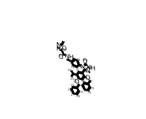 Cc1nnc(C(=O)NCc2ccc(-n3c(-c4cc(C(C)C)c(OCc5ccccc5)cc4OCc4ccccc4)n[nH]c3=O)cc2)o1